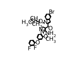 COc1cc(Oc2cccc(F)c2F)ccc1-n1ncc(C(=O)c2cc3cc(Br)ccc3n2COCC[Si](C)(C)C)c1N